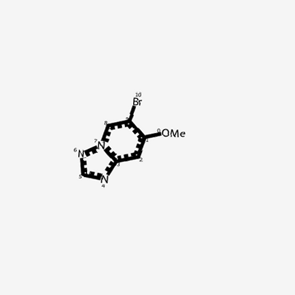 COc1cc2ncnn2cc1Br